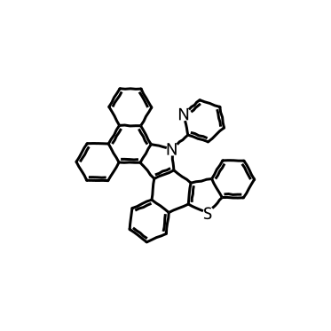 c1ccc(-n2c3c4ccccc4c4ccccc4c3c3c4ccccc4c4sc5ccccc5c4c32)nc1